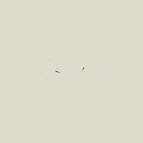 CC(C)(C)C(=O)N1[C@H]([C]23[CH]4[CH]5[CH]6[CH]2[Fe]56432789[CH]3[CH]2[CH]7[CH]8[CH]39)OC(=O)[C@@]1(C)CC#N